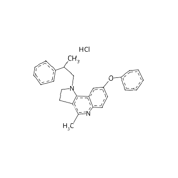 Cc1nc2ccc(Oc3ccccc3)cc2c2c1CCN2CC(C)c1ccccc1.Cl